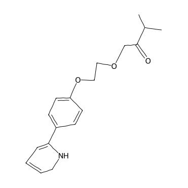 CC(C)C(=O)COCCOc1ccc(C2=CC=CCN2)cc1